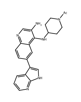 CC(=O)N1CCC(Nc2c(N)cnc3ccc(-c4c[nH]c5ncccc45)cc23)CC1